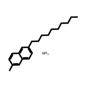 CCCCCCCCCCc1ccc2cc(C)ccc2c1.N